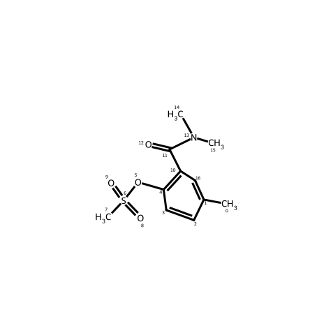 Cc1ccc(OS(C)(=O)=O)c(C(=O)N(C)C)c1